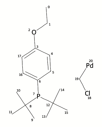 CCOc1ccc(P(C(C)(C)C)C(C)(C)C)cc1.Cl[CH2][Pd]